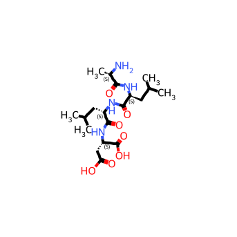 CC(C)C[C@H](NC(=O)[C@H](C)N)C(=O)N[C@@H](CC(C)C)C(=O)N[C@@H](CC(=O)O)C(=O)O